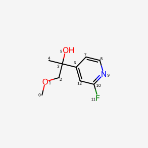 COCC(C)(O)c1ccnc(F)c1